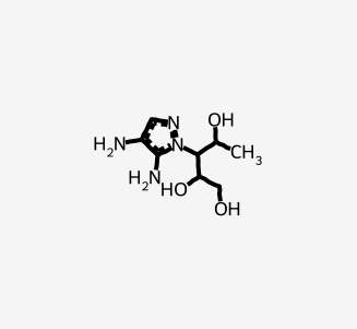 CC(O)C(C(O)CO)n1ncc(N)c1N